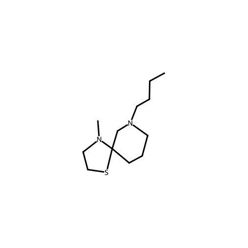 CCCCN1CCCC2(C1)SCCN2C